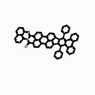 O=c1c2ccc3c4ccc5c6c(ccc(c7ccc(c2c37)c2nc3cccc7cccc(c73)n12)c64)-c1c-5c(-c2ccccc2)c2c3ccccc3c3ccccc3c2c1-c1ccccc1